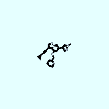 Cn1cc(-c2cc(OCc3ccccn3)c3c(C#CC4CC4)cnn3c2)cn1